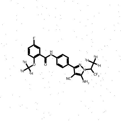 [2H]C([2H])([2H])Oc1ccc(F)cc1C(=O)Nc1ccc(-c2nn(C(C([2H])([2H])[2H])C(F)(F)F)c(N)c2C#N)cc1